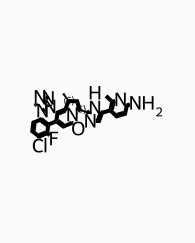 Cc1nc(N)ccc1-c1cnc([C@@H]2C[C@H](C)c3cc(-c4c(-n5cnnn5)ccc(Cl)c4F)cc(=O)n32)[nH]1